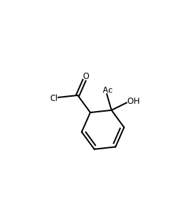 CC(=O)C1(O)C=CC=CC1C(=O)Cl